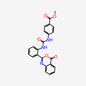 COC(=O)c1ccc(NC(=O)Nc2ccccc2-c2nc3ccccc3c(=O)o2)cc1